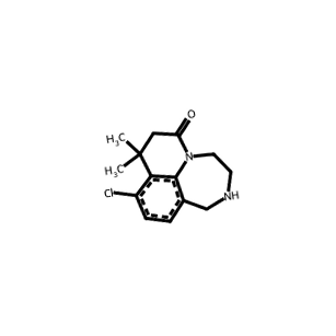 CC1(C)CC(=O)N2CCNCc3ccc(Cl)c1c32